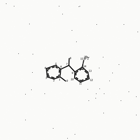 Cc1ccccc1C(C)c1ccccc1C(C)C